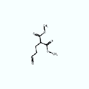 COC(=O)C(CCC=O)C(=O)OC